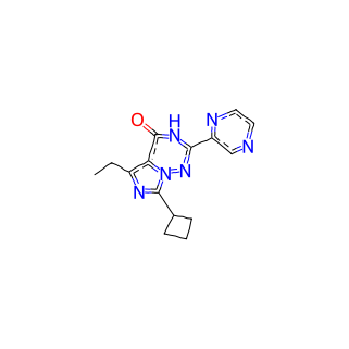 CCc1nc(C2CCC2)n2nc(-c3cnccn3)[nH]c(=O)c12